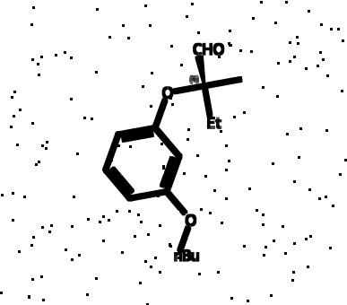 CCCCOc1cccc(O[C@@](C)(C=O)CC)c1